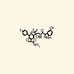 COc1ccc2[nH]nc(C(=O)NCC(O)(c3cc4c(c(-c5ccc(F)cc5)n3)OC[C@]4(C)C(N)=O)C(F)(F)F)c2c1